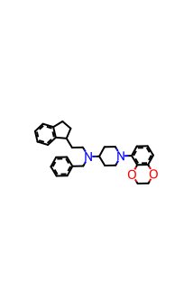 c1ccc(CN(CCC2CCc3ccccc32)C2CCN(c3cccc4c3OCCO4)CC2)cc1